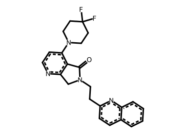 O=C1c2c(N3CCC(F)(F)CC3)ccnc2CN1CCc1ccc2ccccc2n1